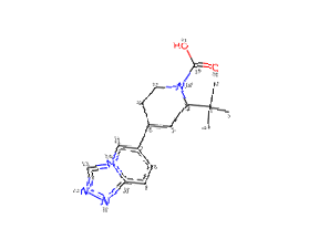 CC(C)(C)C1CC(c2ccc3nncn3c2)CCN1C(=O)O